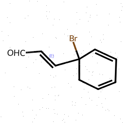 O=C/C=C/C1(Br)C=CC=CC1